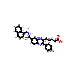 C[C@H](NC(=O)c1ccc2nc(-c3ccc(F)cc3)c(CCCCC(=O)O)nc2c1)c1cccc2ccccc12